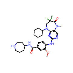 COc1cc(C(=O)NC2CCCNCC2)ccc1Nc1ncc2c(n1)N(C1CCCCC1)CC(F)(F)C(=O)N2C